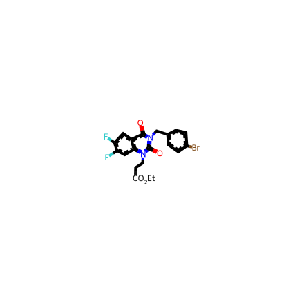 CCOC(=O)CCn1c(=O)n(Cc2ccc(Br)cc2)c(=O)c2cc(F)c(F)cc21